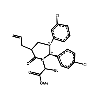 C=CCC1C[C@H](c2cccc(Cl)c2)[C@@H](c2ccc(Cl)cc2)N(C(CC)C(=O)OC)C1=O